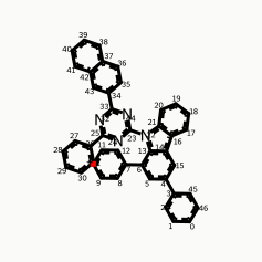 c1ccc(-c2cc(-c3ccccc3)c3c(c2)c2ccccc2n3-c2nc(-c3ccccc3)nc(-c3ccc4ccccc4c3)n2)cc1